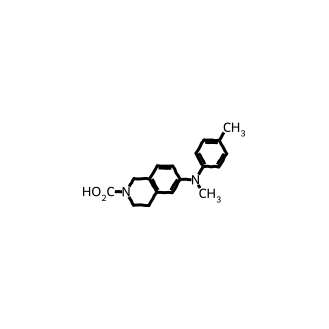 Cc1ccc(N(C)c2ccc3c(c2)CCN(C(=O)O)C3)cc1